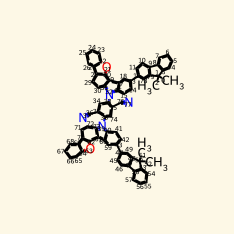 CC1(C)c2ccccc2-c2ccc(-c3ccc4c(c3)c3c5oc6ccccc6c5ccc3n4-c3cc(C#N)c(-n4c5ccc(-c6ccc7c(c6)C(C)(C)c6ccccc6-7)cc5c5c6oc7ccccc7c6ccc54)cc3C#N)cc21